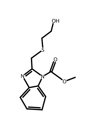 COC(=O)n1c(CSCCO)nc2ccccc21